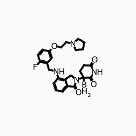 BC1(N2Cc3c(NCc4cc(OCCN5CCCC5)ccc4F)cccc3C2=O)CCC(=O)NC1=O